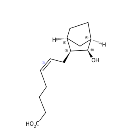 O=C(O)CCC/C=C\C[C@H]1[C@H]2CC[C@H](C2)[C@H]1O